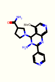 COc1cncc2c1C(N1CCC(C(N)=O)C1)N(N)C(c1ccncc1)=N2